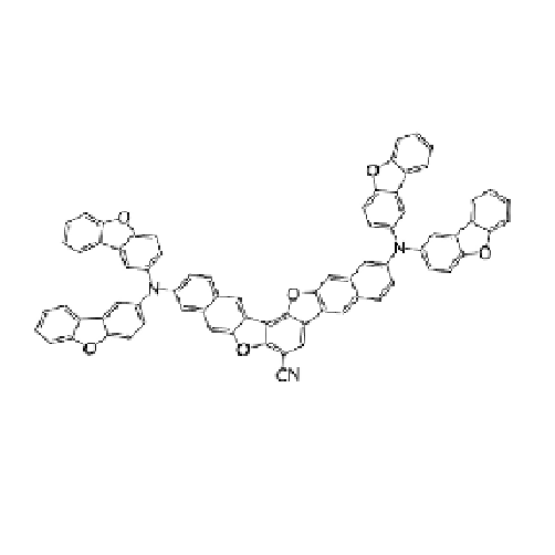 N#Cc1cc2c3cc4ccc(N(c5ccc6oc7ccccc7c6c5)c5ccc6oc7ccccc7c6c5)cc4cc3oc2c2c1oc1cc3cc(N(c4ccc5oc6ccccc6c5c4)c4ccc5oc6ccccc6c5c4)ccc3cc12